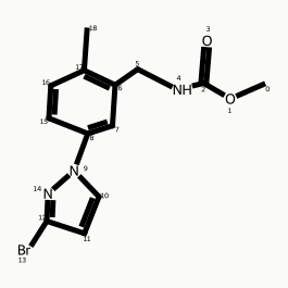 COC(=O)NCc1cc(-n2ccc(Br)n2)ccc1C